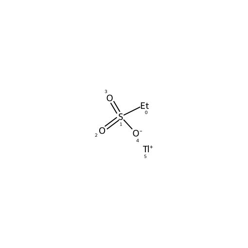 CCS(=O)(=O)[O-].[Tl+]